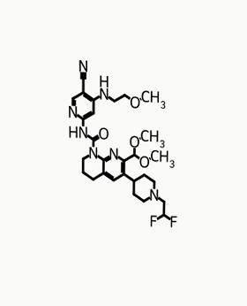 COCCNc1cc(NC(=O)N2CCCc3cc(C4CCN(CC(F)F)CC4)c(C(OC)OC)nc32)ncc1C#N